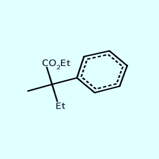 CCOC(=O)C(C)(CC)c1ccccc1